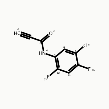 C#CC(=O)Nc1cc(Cl)c(F)cc1F